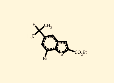 CCOC(=O)c1cc2cc(C(C)(C)F)cc(Br)c2s1